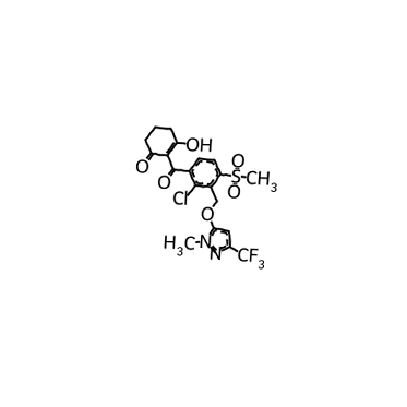 Cn1nc(C(F)(F)F)cc1OCc1c(S(C)(=O)=O)ccc(C(=O)C2=C(O)CCCC2=O)c1Cl